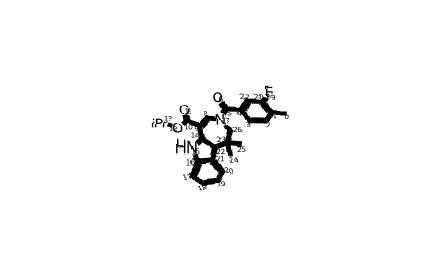 Cc1ccc(C(=O)N2C=C(C(=O)OC(C)C)C3Nc4ccccc4C3C(C)(C)C2)cc1F